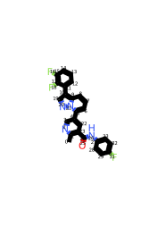 Cc1ncc(-c2cccc3c(-c4cccc(F)c4F)cnn23)cc1C(=O)Nc1ccc(F)cc1